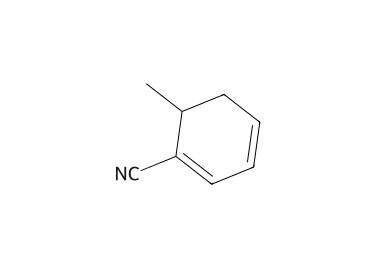 CC1CC=CC=C1C#N